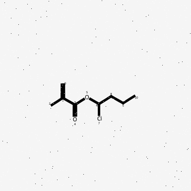 C=C(C)C(=O)OC(Cl)CCC